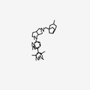 Cc1nn(C)c(C)c1-c1ccc(N2CCC3CN(CC45CC=C(CC(C)C4)C5)CC32)nn1